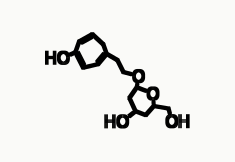 OCC1CC(O)CC(OCCC2=CC=C(O)C=CC2)O1